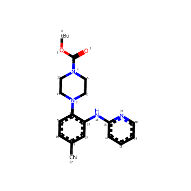 CC(C)(C)OC(=O)N1CCN(c2ccc(C#N)cc2Nc2ccccn2)CC1